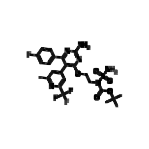 Cc1cc(-c2c(OCCN(C(=O)OC(C)(C)C)S(N)(=O)=O)nc(N)nc2-c2ccc(F)cc2)cc(C(F)(F)F)n1